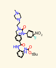 CN1CCN(CCN(Cc2ccc(C(=O)Nc3ccccc3NC(=O)OC(C)(C)C)cc2)C(=O)NC2C=CC(F)([N+](=O)[O-])C=C2)CC1